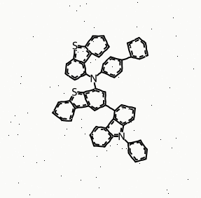 c1ccc(-c2ccc(N(c3cc(-c4cccc5c4c4ccccc4n5-c4ccccc4)cc4c3sc3ccccc34)c3cccc4sc5ccccc5c34)cc2)cc1